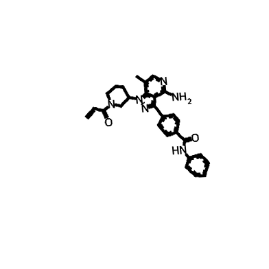 C=CC(=O)N1CCCC(n2nc(-c3ccc(C(=O)Nc4ccccc4)cc3)c3c(N)ncc(C)c32)C1